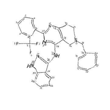 FC(F)(F)c1ccccc1-c1nc2c(c(Nc3n[nH]c4ccccc34)n1)CN(Cc1ccccc1)CC2